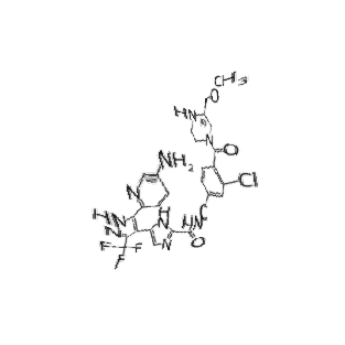 COC[C@H]1CN(C(=O)c2ccc(CNC(=O)c3ncc(-c4c(C(F)(F)F)n[nH]c4-c4ccc(N)cn4)[nH]3)cc2Cl)CCN1